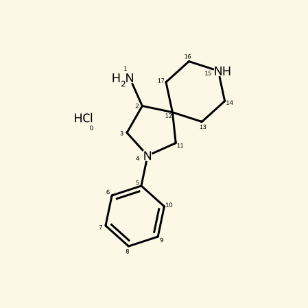 Cl.NC1CN(c2ccccc2)CC12CCNCC2